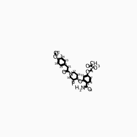 CS(=O)(=O)COc1ccc(C(N)=O)c(O[C@@H]2CCN(C(=O)Cc3ccc(OC(F)(F)F)cc3)C[C@H]2F)c1